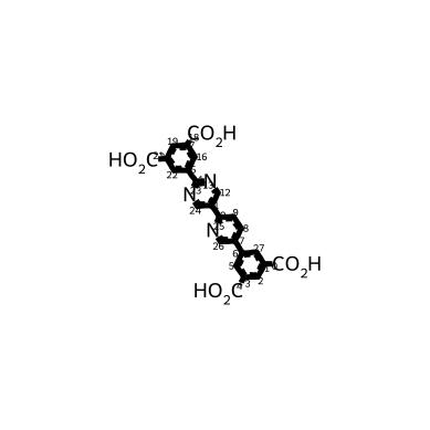 O=C(O)c1cc(C(=O)O)cc(-c2ccc(-c3cnc(-c4cc(C(=O)O)cc(C(=O)O)c4)nc3)nc2)c1